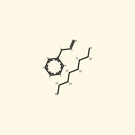 C=CCc1ccccc1.CCCCCCCC